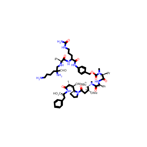 CC[C@H](C)[C@@H]([C@@H](CC(=O)N1CCC[C@H]1[C@H](OC)[C@@H](C)C(=O)N[C@@H](Cc1ccccc1)C(=O)O)OC)N(C)C(=O)[C@@H](NC(=O)[C@H](C(C)C)N(C)C(=O)OCc1ccc(NC(=O)C(CCCNC(N)=O)NC(=O)[C@@H](NCC(N)(C=O)CCCCN)C(C)C)cc1)C(C)C